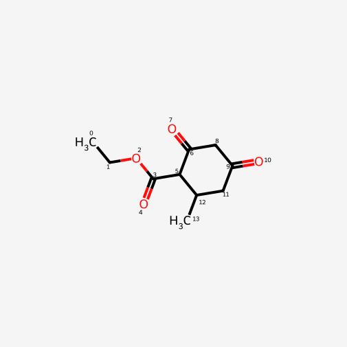 CCOC(=O)C1C(=O)CC(=O)CC1C